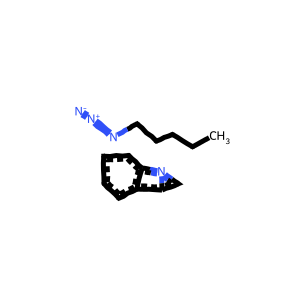 CCCCCN=[N+]=[N-].c1ccc2c(c1)c1cn2-1